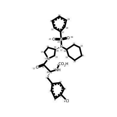 O=C(O)N[C@H](Cc1ccc(Cl)cc1)C(=O)N1CC[C@H](N(C2CCCCC2)S(=O)(=O)c2ccccc2)C1